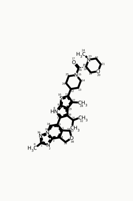 Cc1nc2c3c(c(-c4[nH]c5sc(C6CCN(C(=O)[C@H]7COCCN7C)CC6)c(C)c5c4C(C)C)cn2n1)COC3